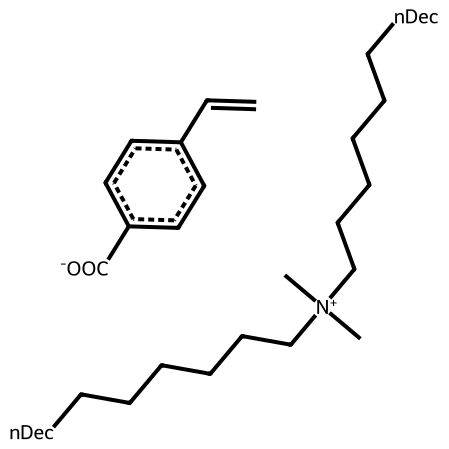 C=Cc1ccc(C(=O)[O-])cc1.CCCCCCCCCCCCCCCC[N+](C)(C)CCCCCCCCCCCCCCCC